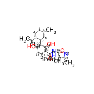 C=C(C)C1CCC(C)=CC1c1c(O)cc(CCCCC)c(C(=O)Nc2onc(C)c2C)c1O